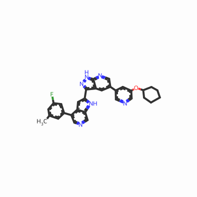 Cc1cc(F)cc(-c2cncc3[nH]c(-c4n[nH]c5ncc(-c6cncc(OC7CCCCC7)c6)cc45)cc23)c1